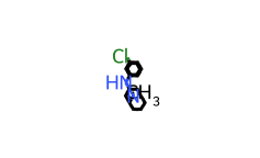 CN1C2CCCC1CC(Nc1cccc(Cl)c1)C2